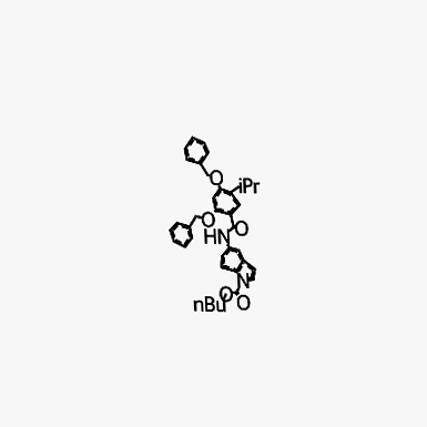 CCCCOC(=O)n1ccc2cc(NC(=O)c3cc(C(C)C)c(OCc4ccccc4)cc3OCc3ccccc3)ccc21